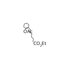 CCOC(=O)CCCCCCC1=C(OC(C)=O)CCCC1